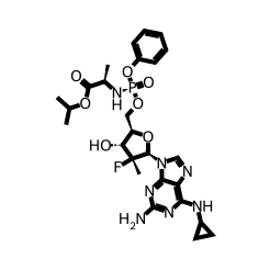 CC(C)OC(=O)[C@@H](C)N[P@](=O)(OC[C@H]1O[C@@H](n2cnc3c(NC4CC4)nc(N)nc32)[C@](C)(F)[C@@H]1O)Oc1ccccc1